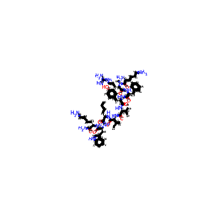 CCCC[C@H](NC(=O)[C@@H](NC(=O)[C@@H](NC(=O)[C@H](Cc1ccc(O)cc1)NC(=O)[C@H](Cc1ccccc1)NC(=O)[C@H](CCCNC(=N)N)N(C)C(=O)[C@H](N)CCCCN)C(C)C)C(C)C)C(=O)N[C@@H](Cc1c[nH]c2ccccc12)C(=O)N[C@@H](CCCCN)C(N)=O